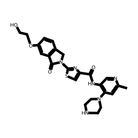 Cc1cc(N2CCNCC2)c(NC(=O)c2csc(N3Cc4ccc(OCCO)cc4C3=O)n2)cn1